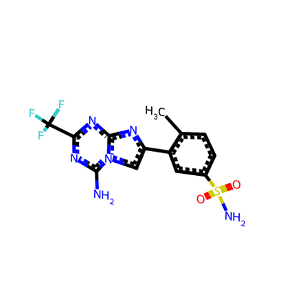 Cc1ccc(S(N)(=O)=O)cc1-c1cn2c(N)nc(C(F)(F)F)nc2n1